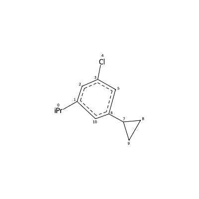 [CH2]C(C)c1cc(Cl)cc(C2CC2)c1